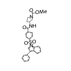 COC(=O)N1CCC(NC(=O)c2ccc(S(=O)(=O)n3cc(-c4ccccc4)c4ccccc43)cc2)C1